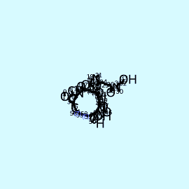 COc1cc2cc(c1Cl)N(C)C(=O)C[C@H](OC(=O)[C@H](C)N(C)C(=O)CCCC(=O)N(C)CCO)[C@]1(C)O[C@H]1[C@H](C)[C@@H]1C[C@@](O)(NC(=O)O1)[C@H](OC)/C=C/C=C(/C)C2